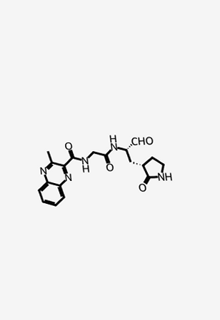 Cc1nc2ccccc2nc1C(=O)NCC(=O)N[C@H](C=O)C[C@@H]1CCNC1=O